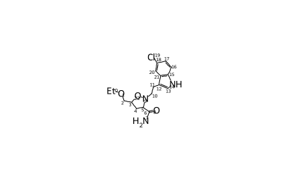 CCOCC1CC(C(N)=O)N(CCc2c[nH]c3ccc(Cl)cc23)O1